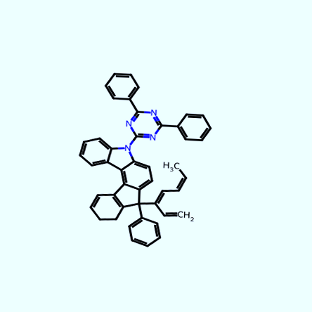 C=C/C(=C\C=C/C)C1(c2ccccc2)C2=C(C=CCC2)c2c1ccc1c2c2ccccc2n1-c1nc(-c2ccccc2)nc(-c2ccccc2)n1